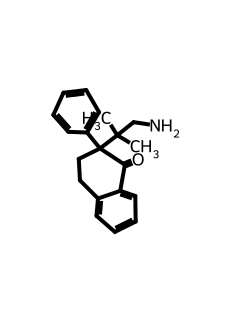 CC(C)(CN)C1(c2ccccc2)CCc2ccccc2C1=O